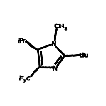 CC(C)c1c(C(F)(F)F)nc(C(C)(C)C)n1C